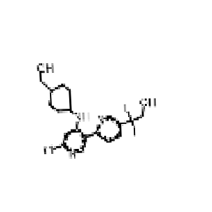 OCC1CCC(Nc2cc(Cl)ncc2-c2ccc(C(F)(F)CO)cn2)CC1